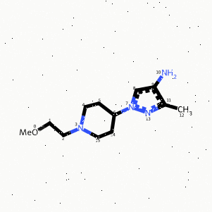 COCCN1CCC(n2cc(N)c(C)n2)CC1